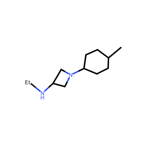 CCNC1CN(C2CCC(C)CC2)C1